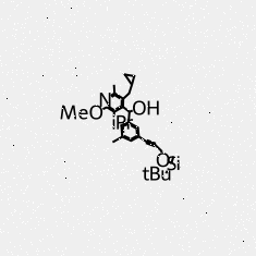 COc1nc(C)c(CC2CC2)c(C(O)c2cc(C)cc(C#CCO[Si](C)(C)C(C)(C)C)c2)c1C(C)C